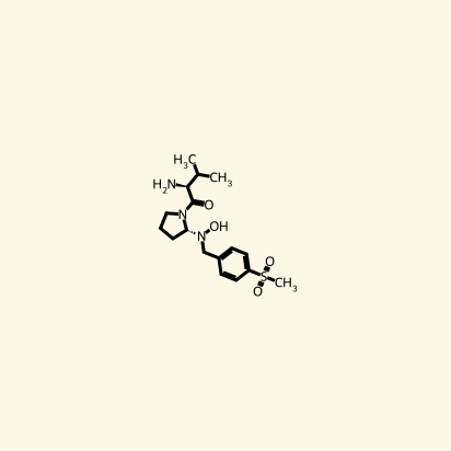 CC(C)[C@H](N)C(=O)N1CCC[C@H]1N(O)Cc1ccc(S(C)(=O)=O)cc1